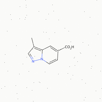 Cc1cnn2ccc(C(=O)O)cc12